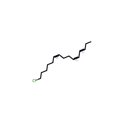 CC/C=C/C=C\CC/C=C\CCCCCCl